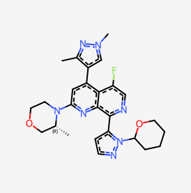 Cc1nn(C)cc1-c1cc(N2CCOC[C@H]2C)nc2c(-c3ccnn3C3CCCCO3)ncc(F)c12